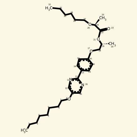 CCCCCCCCOc1cnc(-c2ccc(OC[C@@H](C)OC(=O)[C@H](C)OCCCCCC)cc2)nc1